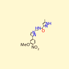 COc1cc(-c2ccn(CCNC(=O)c3cc(C)[nH]n3)n2)ccc1[N+](=O)[O-]